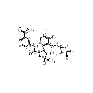 C[C@H]1[C@@H](c2ccc(F)c(F)c2OCC2CC(F)(F)C2)[C@H](C(=O)Nc2ccnc(C(N)=O)c2)OC1(C)C